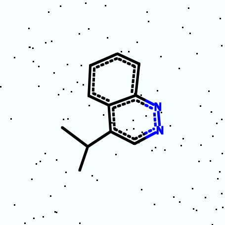 CC(C)c1cnnc2ccccc12